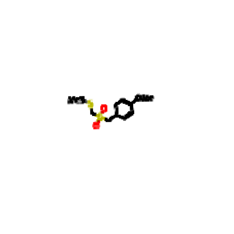 COc1ccc(CS(=O)(=O)CSSC)cc1